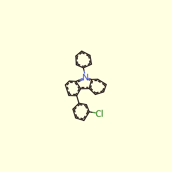 Clc1cccc(-c2cccc3c2c2ccccc2n3-c2ccccc2)c1